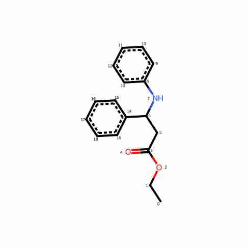 CCOC(=O)CC(Nc1ccccc1)c1ccccc1